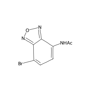 CC(=O)Nc1ccc(Br)c2nonc12